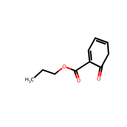 CCCOC(=O)C1=CC=CCC1=O